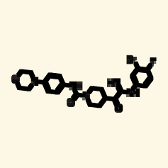 N=C(Nc1ccc(F)c(Br)c1)C(=O)C1CCN(C(=O)Nc2ccc(N3CCOCC3)cc2)CC1